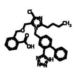 CCCCc1nc(Cl)c(COCc2ccccc2C(=O)O)n1Cc1ccc(-c2ccccc2)c(-c2nnn[nH]2)c1